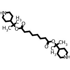 CC(C)(OC(=O)CCCCCCC(=O)OC(C)(C)C1CCNCC1)C1CCNCC1